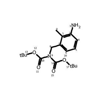 Cc1c(N)cccc1CN(C(=O)OC(C)(C)C)C(=O)OC(C)(C)C